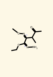 CCOC(=N/N)/C(=N\OC)C(C)C(C)=O